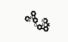 CC1(C)c2cccnc2-n2c3cc(Oc4ccc5c6ccccc6n(-c6ccccn6)c5c4)ccc3c3cccc1c32